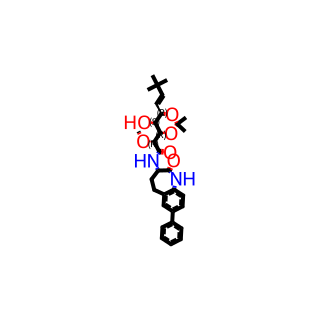 CO[C@@H](C(=O)NC1CCc2cc(-c3ccccc3)ccc2NC1=O)[C@@H]1OC(C)(C)O[C@H](C=CC(C)(C)C)[C@@H]1O